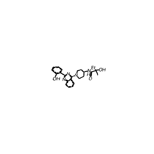 CCC(C)(O)C(=O)NC1CCN(c2nc(-c3ccccc3O)nc3ccccc23)CC1